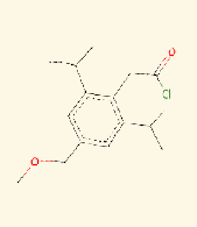 COCc1cc(C(C)C)c(CC(=O)Cl)c(C(C)C)c1